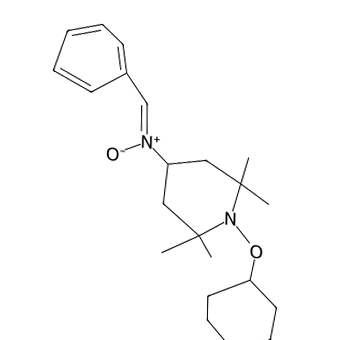 CC1(C)CC([N+]([O-])=Cc2ccccc2)CC(C)(C)N1OC1CCCCC1